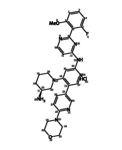 COc1cccc(F)c1-c1nccc(Nc2cc(N3CCC[C@H](N)C3)c(-c3ccc(N4CCOCC4)nc3)cn2)n1.Cl